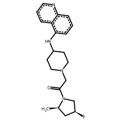 C[C@@H]1C[C@H](F)CN1C(=O)CN1CCC(Nc2cccc3ncccc23)CC1